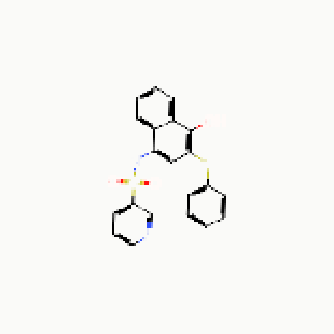 O=S(=O)(Nc1cc(Sc2ccccc2)c(O)c2ccccc12)c1cccnc1